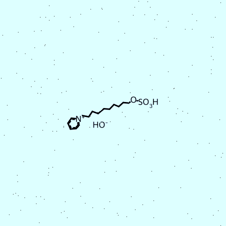 O=S(=O)(O)OCCCCCCCCCC[n+]1ccccc1.[OH-]